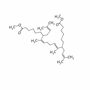 COC(=O)CCCCCC(CC=C(C)C)C(C)=CCCC=C(C)C(CC=C(C)C)CCCCCC(=O)OC